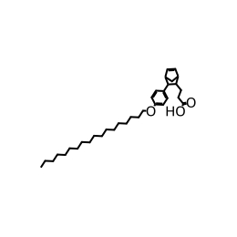 CCCCCCCCCCCCCCCCCCOc1ccc(C2C3C=CC(C3)C2CCC(=O)O)cc1